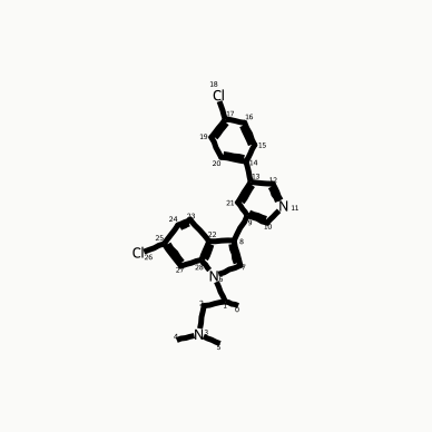 CC(CN(C)C)n1cc(-c2cncc(-c3ccc(Cl)cc3)c2)c2ccc(Cl)cc21